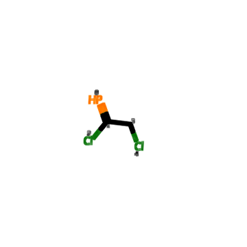 P=C(Cl)CCl